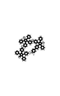 Cc1ccc(C2=C(c3ccccc3)C(=O)C(c3ccccc3)=C2c2ccc(Oc3cccc(C4=C(c5ccccc5)C(=O)C(c5ccccc5)=C4c4cccc(Oc5ccc(C6=C(c7ccccc7)C(=O)C(c7ccccc7)=C6c6ccc(-c7ccccc7)cc6)cc5)c4)c3)cc2)cc1